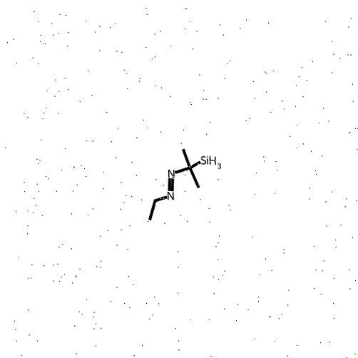 CCN=NC(C)(C)[SiH3]